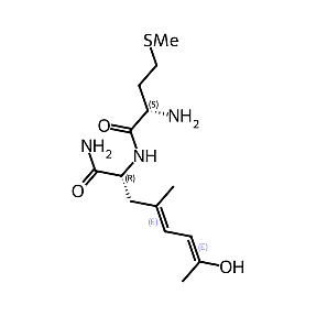 CSCC[C@H](N)C(=O)N[C@H](C/C(C)=C/C=C(\C)O)C(N)=O